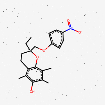 CCC1(COc2ccc([N+](=O)[O-])cc2)CCc2c(C)c(O)c(C)c(C)c2O1